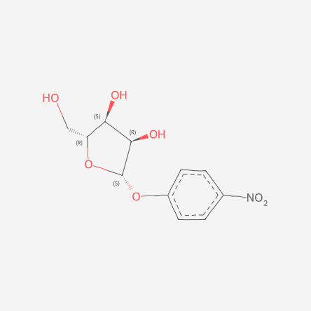 O=[N+]([O-])c1ccc(O[C@@H]2O[C@H](CO)[C@@H](O)[C@H]2O)cc1